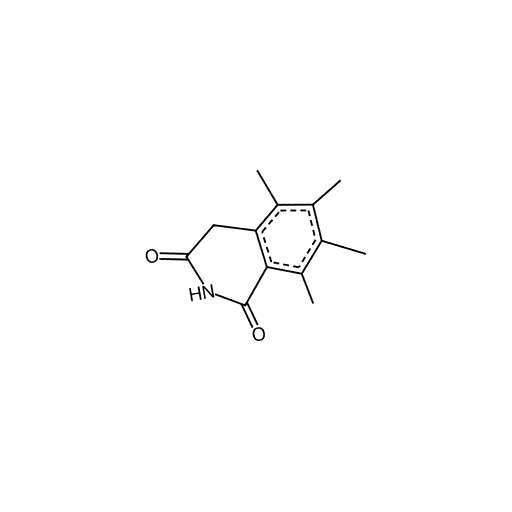 Cc1c(C)c(C)c2c(c1C)CC(=O)NC2=O